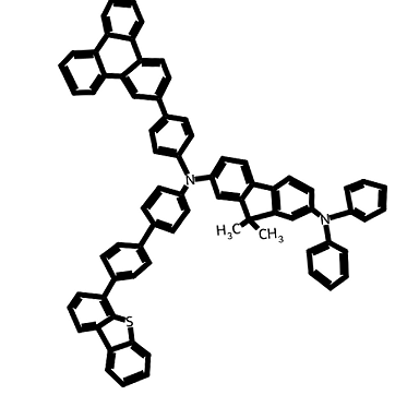 CC1(C)c2cc(N(c3ccccc3)c3ccccc3)ccc2-c2ccc(N(c3ccc(-c4ccc(-c5cccc6c5sc5ccccc56)cc4)cc3)c3ccc(-c4ccc5c6ccccc6c6ccccc6c5c4)cc3)cc21